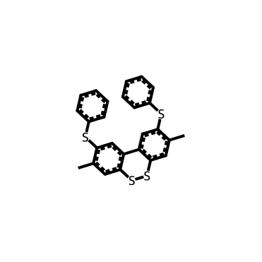 Cc1cc2c(cc1Sc1ccccc1)-c1cc(Sc3ccccc3)c(C)cc1SS2